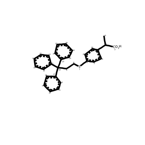 CC(C(=O)O)c1ccc(SCCC(c2ccccc2)(c2ccccc2)c2ccccc2)cc1